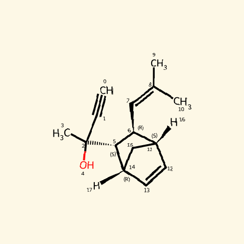 C#CC(C)(O)[C@@H]1[C@@H](C=C(C)C)[C@@H]2C=C[C@H]1C2